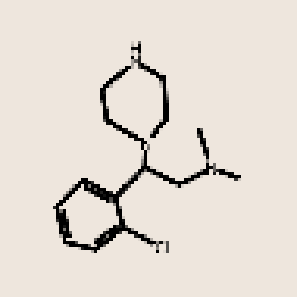 CN(C)CC(c1ccccc1Cl)N1CCNCC1